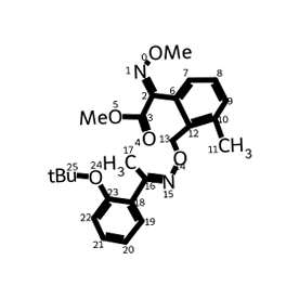 CO/N=C(/C(=O)OC)c1cccc(C)c1CO/N=C(\C)c1ccccc1OC(C)(C)C